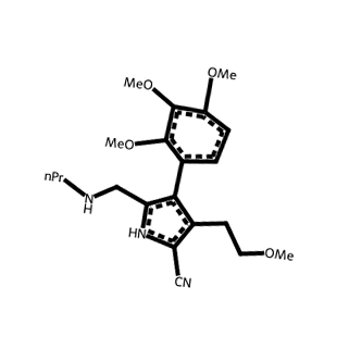 CCCNCc1[nH]c(C#N)c(CCOC)c1-c1ccc(OC)c(OC)c1OC